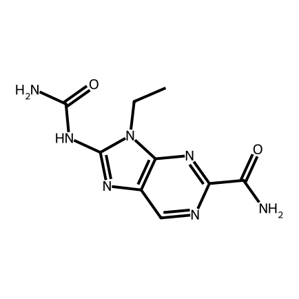 CCn1c(NC(N)=O)nc2cnc(C(N)=O)nc21